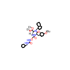 CCOC(OCC)C(C)N(Cc1cccc2ccccc12)C(=O)C(Cc1ccc(OC(C)(C)C)cc1)NC(=O)CONC(=O)NCc1ccccc1